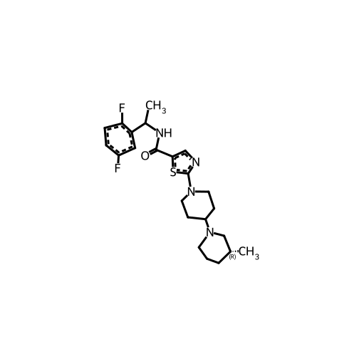 CC(NC(=O)c1cnc(N2CCC(N3CCC[C@@H](C)C3)CC2)s1)c1cc(F)ccc1F